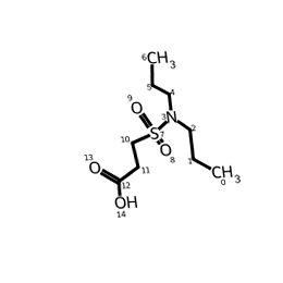 CCCN(CCC)S(=O)(=O)CCC(=O)O